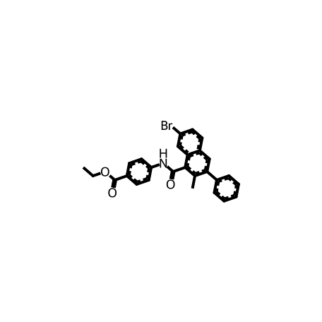 CCOC(=O)c1ccc(NC(=O)c2c(C)c(-c3ccccc3)cc3ccc(Br)cc23)cc1